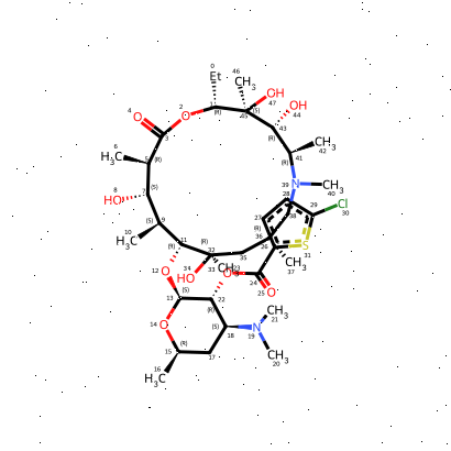 CC[C@H]1OC(=O)[C@H](C)[C@@H](O)[C@H](C)[C@@H](O[C@@H]2O[C@H](C)C[C@H](N(C)C)[C@H]2OC(=O)c2ccc(Cl)s2)[C@](C)(O)C[C@@H](C)CN(C)[C@H](C)[C@@H](O)[C@]1(C)O